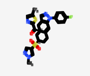 Cn1cc(S(=O)(=O)[C@H]2CCC3=Cc4c(cnn4-c4ccc(F)cc4)C[C@]3(C(=O)c3ncc(C(F)(F)F)s3)C2)cn1